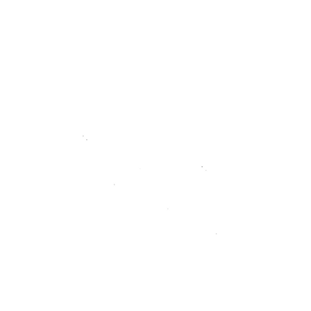 Cc1nc2c(C(N)=O)cccn2c1-c1nc2c(c(NCc3cccc(F)c3)n1)CCNCC2